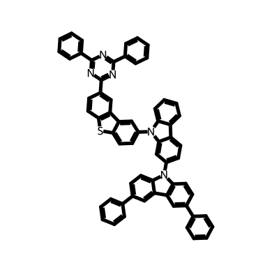 c1ccc(-c2ccc3c(c2)c2cc(-c4ccccc4)ccc2n3-c2ccc3c4ccccc4n(-c4ccc5sc6ccc(-c7nc(-c8ccccc8)nc(-c8ccccc8)n7)cc6c5c4)c3c2)cc1